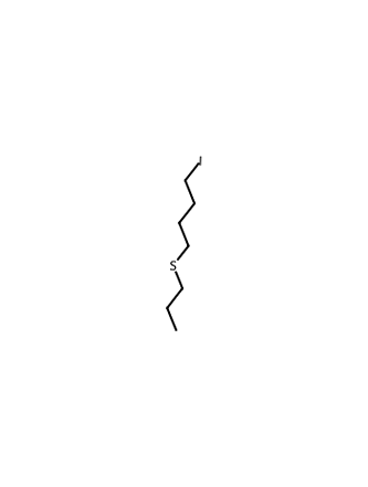 CCCSCCCCI